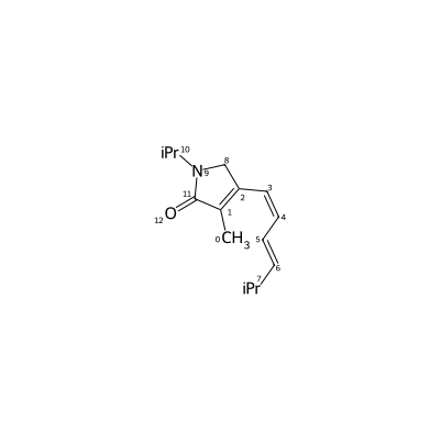 CC1=C(/C=C\C=C\C(C)C)CN(C(C)C)C1=O